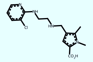 Cc1c(CNCCNc2ncccc2Cl)cc(C(=O)O)n1C